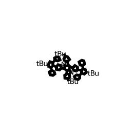 CC(C)(C)c1cc(-c2ccccc2)c(-c2ccc3c4c5c6ccc(C(C)(C)C)cc6n6c7cc(-c8c(-c9ccccc9)cc(C(C)(C)C)cc8-c8ccccc8)ccc7c(c7c8ccc(C(C)(C)C)cc8n(c3c2)c47)c56)c(-c2ccccc2)c1